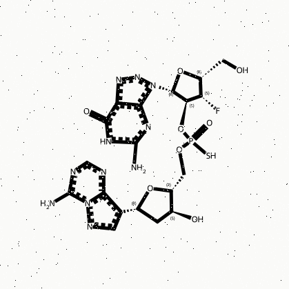 Nc1nc2c(nnn2[C@@H]2O[C@H](CO)[C@H](F)[C@H]2OP(=O)(S)OC[C@H]2O[C@@H](c3cnn4c(N)ncnc34)C[C@@H]2O)c(=O)[nH]1